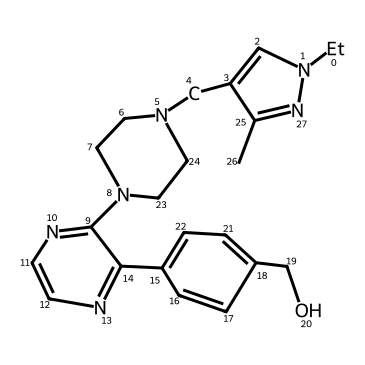 CCn1cc(CN2CCN(c3nccnc3-c3ccc(CO)cc3)CC2)c(C)n1